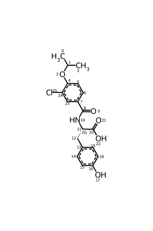 CC(C)Oc1ccc(C(=O)N[C@@H](Cc2ccc(O)cc2)C(=O)O)cc1Cl